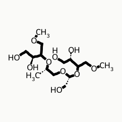 COCC(O[C@H](CO)OC[C@H](C)OC(COC)[C@@H](O)CO)[C@@H](O)CO